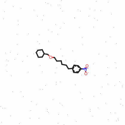 O=[N+]([O-])c1ccc(CCCCCCOCC2CCCCC2)cc1